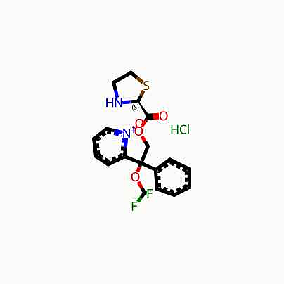 Cl.O=C(OCC(OC(F)F)(c1ccccc1)c1cccc[n+]1[O-])[C@H]1NCCS1